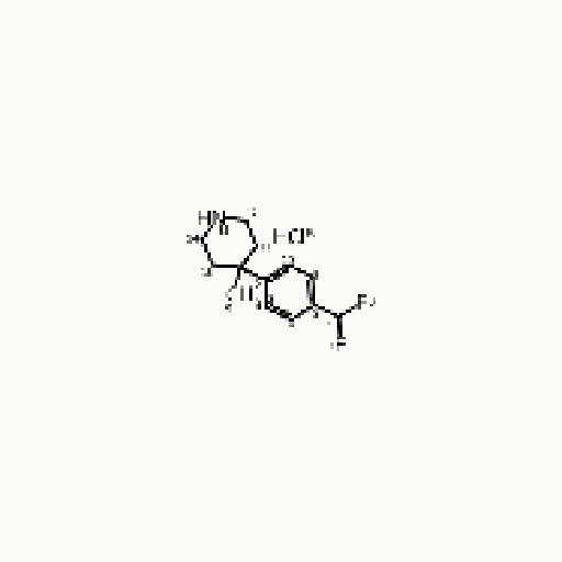 CC1(c2ccc(C(F)F)cc2)CCNCC1.Cl